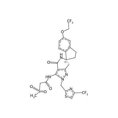 CS(=O)(=O)CC(=O)Nc1c2c(nn1Cc1nc(C(F)(F)F)cs1)C[C@]1(CCc3cc(OCC(F)(F)F)ccc31)NC2=O